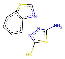 Nc1nnc(S)s1.c1ccc2scnc2c1